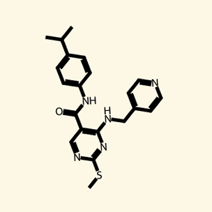 CSc1ncc(C(=O)Nc2ccc(C(C)C)cc2)c(NCc2ccncc2)n1